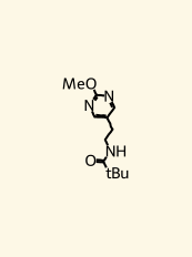 COc1ncc(CCNC(=O)C(C)(C)C)cn1